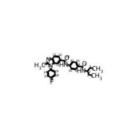 CCC(CC)NC(=O)c1ccc(NC(=O)c2ccc3nc(C)n(-c4ccc(F)cc4)c3c2)cc1